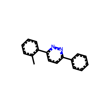 Cc1ccccc1-c1ccc(-c2ccccc2)nn1